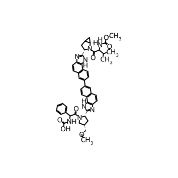 COC[C@H]1C[C@@H](c2nc3ccc4cc(-c5ccc6c(ccc7nc([C@@H]8CC9C[C@H]9N8C(=O)C(NC(=O)OC)C(C)C)[nH]c76)c5)ccc4c3[nH]2)N(C(=O)C(NC(=O)O)c2ccccc2)C1